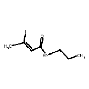 CCCNC(=O)/C=C(/C)I